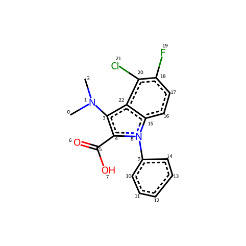 CN(C)c1c(C(=O)O)n(-c2ccccc2)c2ccc(F)c(Cl)c12